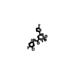 CN1C(C(=O)Nc2ccc(F)c(Cl)c2)=CC(c2ccc(F)s2)=NS1(=O)=O